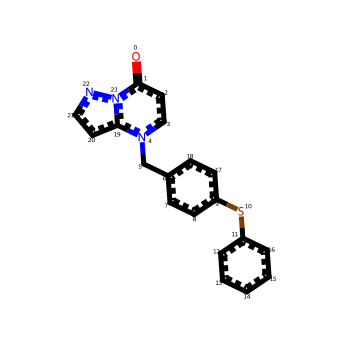 O=c1ccn(Cc2ccc(Sc3ccccc3)cc2)c2ccnn12